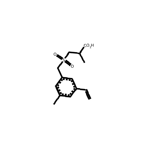 C=Cc1cc(C)cc(CS(=O)(=O)CC(C)C(=O)O)c1